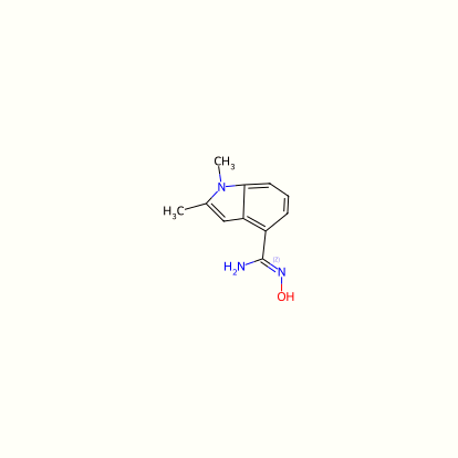 Cc1cc2c(/C(N)=N/O)cccc2n1C